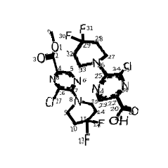 COC(=O)c1cnc(N2CCC(F)(F)CC2)c(Cl)n1.O=C(O)c1cnc(N2CCC(F)(F)CC2)c(Cl)n1